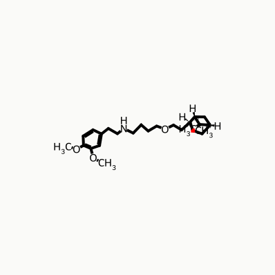 COc1ccc(CCNCCCCOCC[C@@H]2CC[C@H]3C[C@@H]2C3(C)C)cc1OC